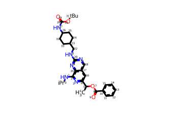 CC(C)Nc1nc(C(C)OC(=O)c2ccccc2)cc2cnc(NCC3CCC(NC(=O)OC(C)(C)C)CC3)nc12